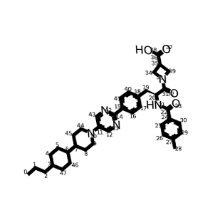 CCCC1CCC(C2CCN(c3cnc(-c4ccc(C[C@H](NC(=O)c5ccc(C)cc5)C(=O)N5CC(C(=O)O)C5)cc4)nc3)CC2)CC1